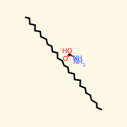 CCCCCCCCCCCCCCCCCCCCCCCCCCCC.NNC(=O)O